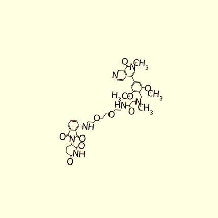 COc1cc(-c2cn(C)c(=O)c3cnccc23)cc(OC)c1CN(C)CC(=O)NCCOCCOCCNc1cccc2c1C(=O)N(C1CCC(=O)NC1=O)C2=O